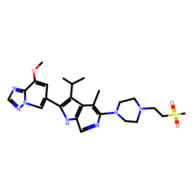 COc1cc(-c2[nH]c3cnc(N4CCN(CCS(C)(=O)=O)CC4)c(C)c3c2C(C)C)cn2ncnc12